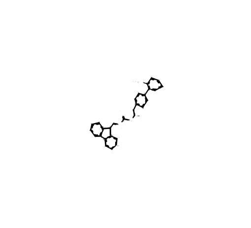 COc1ccccc1-c1ccc(C[C@H](NC(=O)OCC2c3ccccc3-c3ccccc32)C(=O)O)cc1